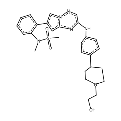 CN(c1ccccc1-c1cc2nc(Nc3ccc(C4CCN(CCO)CC4)cc3)cnn2c1)S(C)(=O)=O